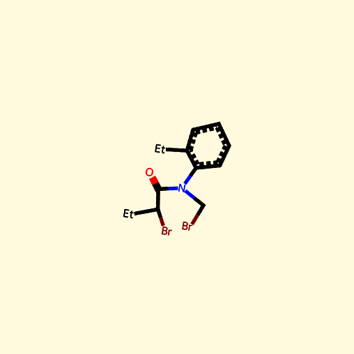 CCc1ccccc1N(CBr)C(=O)C(Br)CC